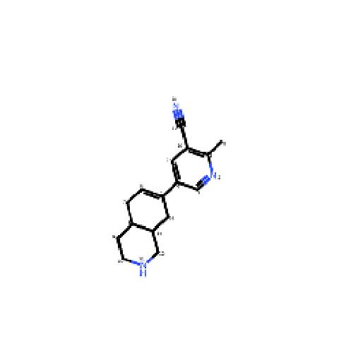 Cc1ncc(C2=CCC3CCNCC3C2)cc1C#N